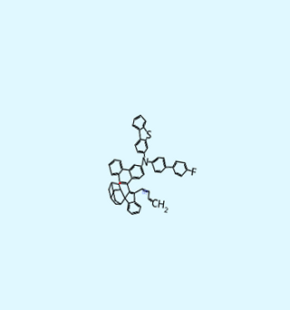 C=C/C=C\C1=C(c2cc3ccccc3c3cc(N(c4ccc(-c5ccc(F)cc5)cc4)c4ccc5c(c4)sc4ccccc45)ccc23)C2(c3ccccc31)C1CC3CC(C1)CC2C3